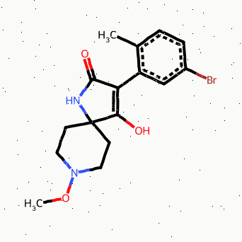 CON1CCC2(CC1)NC(=O)C(c1cc(Br)ccc1C)=C2O